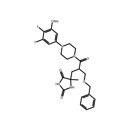 COc1cc(N2CCN(C(=O)C(COCc3ccccc3)CC3(C)NC(=O)NC3=O)CC2)cc(F)c1F